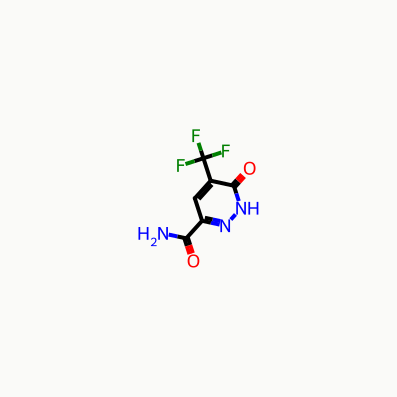 NC(=O)c1cc(C(F)(F)F)c(=O)[nH]n1